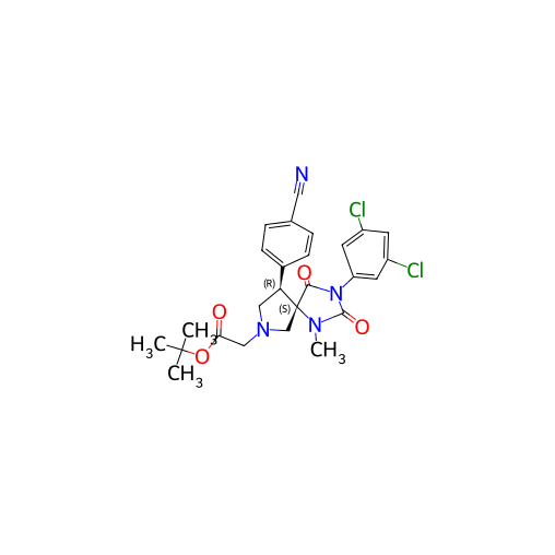 CN1C(=O)N(c2cc(Cl)cc(Cl)c2)C(=O)[C@]12CN(CC(=O)OC(C)(C)C)C[C@H]2c1ccc(C#N)cc1